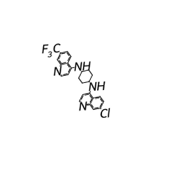 FC(F)(F)c1ccc2c(N[C@H]3CC[C@@H](Nc4ccnc5cc(Cl)ccc45)CC3)ccnc2c1